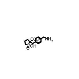 NCc1ccc(CC2(C(=O)O)CCCP2(=O)O)cc1